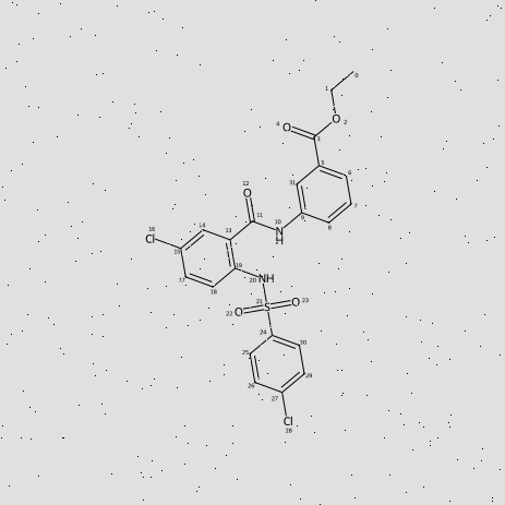 CCOC(=O)c1cccc(NC(=O)c2cc(Cl)ccc2NS(=O)(=O)c2ccc(Cl)cc2)c1